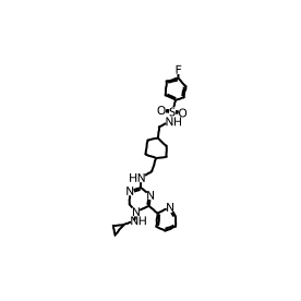 O=S(=O)(NCC1CCC(CNC2=NCN(NC3CC3)C(c3ccccn3)=N2)CC1)c1ccc(F)cc1